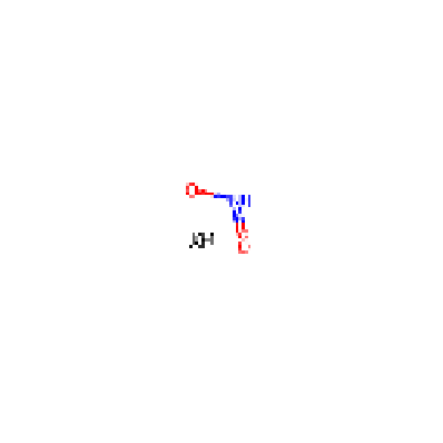 O=[NH+][O-].[KH]